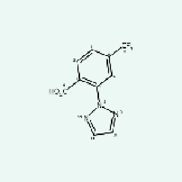 O=C(O)c1ccc(C(F)(F)F)cc1-n1nccn1